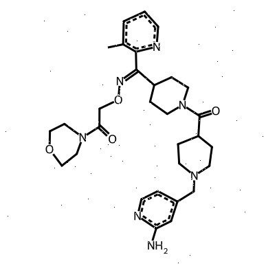 Cc1cccnc1C(=NOCC(=O)N1CCOCC1)C1CCN(C(=O)C2CCN(Cc3ccnc(N)c3)CC2)CC1